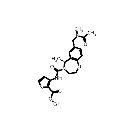 COC(=O)c1sccc1NC(=O)N1CCOc2ccc(CN(C)C(C)=O)cc2[C@@H]1C